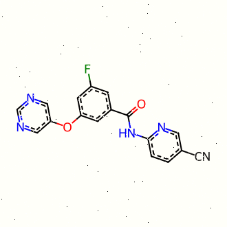 N#Cc1ccc(NC(=O)c2cc(F)cc(Oc3cncnc3)c2)nc1